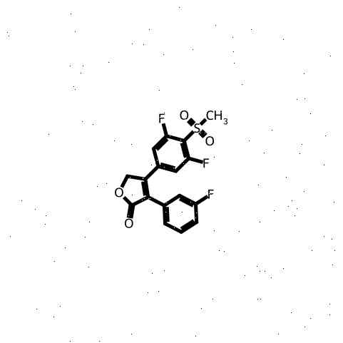 CS(=O)(=O)c1c(F)cc(C2=C(c3cccc(F)c3)C(=O)OC2)cc1F